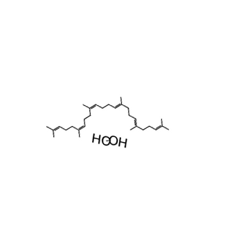 CC(C)=CCCC(C)=CCCC(C)=CCCC=C(C)CCC=C(C)CCC=C(C)C.OO